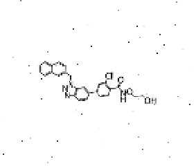 O=C(NOCCO)c1ccc(-c2ccc3nnn(Cc4ccc5ccccc5c4)c3c2)cc1Cl